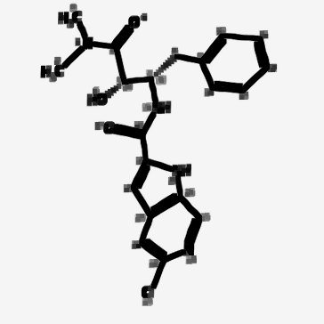 CN(C)C(=O)[C@@H](O)[C@H](Cc1ccccc1)NC(=O)c1cc2cc(Cl)ncc2[nH]1